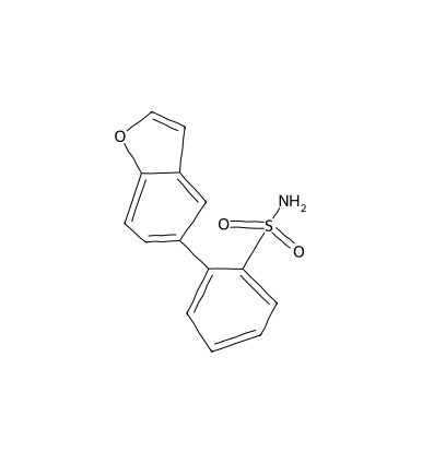 NS(=O)(=O)c1ccccc1-c1ccc2occc2c1